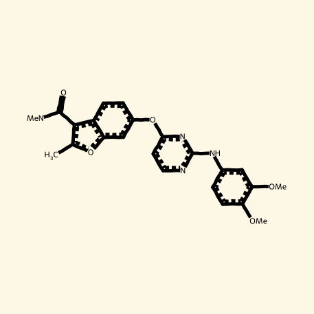 CNC(=O)c1c(C)oc2cc(Oc3ccnc(Nc4ccc(OC)c(OC)c4)n3)ccc12